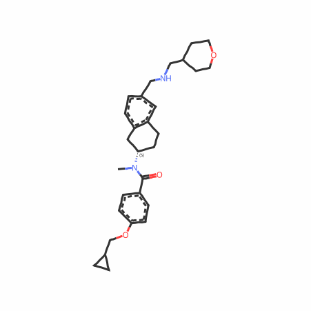 CN(C(=O)c1ccc(OCC2CC2)cc1)[C@H]1CCc2cc(CNCC3CCOCC3)ccc2C1